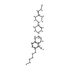 CCCCCCc1ccc(OC(=O)[C@H]2CC[C@H]([C@H]3CC[C@H](CCC)CC3)CC2)c(F)c1F